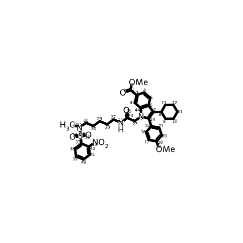 COC(=O)c1ccc2c(C3CCCCC3)c(-c3ccc(OC)cc3)n(CC(=O)NCCCCCN(C)S(=O)(=O)c3ccccc3[N+](=O)[O-])c2c1